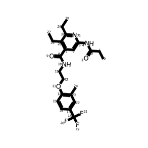 CCC(=O)Nc1cc(C(=O)NCCOc2ccc(C(F)(F)F)cc2C)c(CC)c(CC)n1